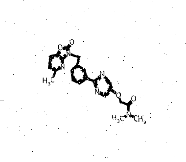 Cc1ccc2oc(=O)n(Cc3cccc(-c4ncc(OCC(=O)N(C)C)cn4)c3)c2n1